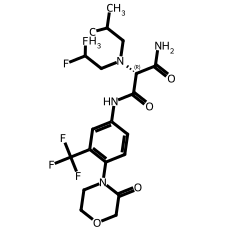 CC(C)CN(CC(F)F)[C@H](C(N)=O)C(=O)Nc1ccc(N2CCOCC2=O)c(C(F)(F)F)c1